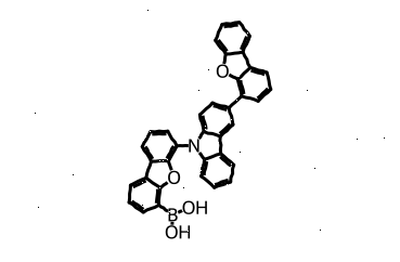 OB(O)c1cccc2c1oc1c(-n3c4ccccc4c4cc(-c5cccc6c5oc5ccccc56)ccc43)cccc12